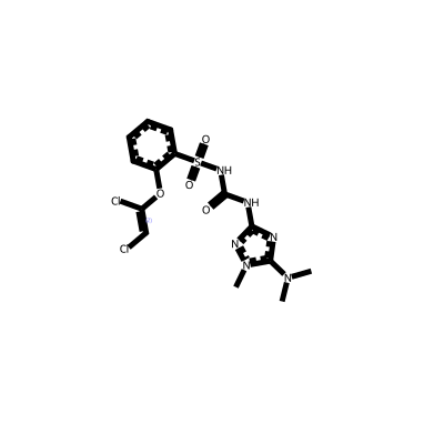 CN(C)c1nc(NC(=O)NS(=O)(=O)c2ccccc2O/C(Cl)=C/Cl)nn1C